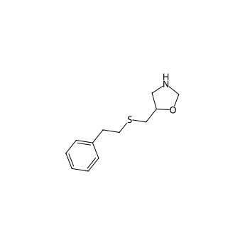 c1ccc(CCSCC2CNCO2)cc1